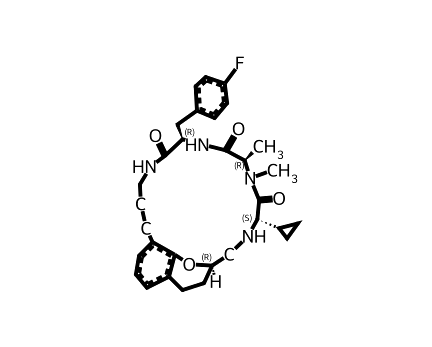 C[C@@H]1C(=O)N[C@H](Cc2ccc(F)cc2)C(=O)NCCCc2cccc3c2O[C@H](CC3)CN[C@@H](C2CC2)C(=O)N1C